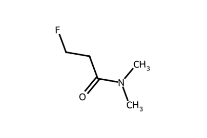 CN(C)C(=O)CCF